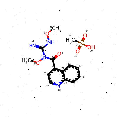 CONC(=N)N(OC)C(=O)c1ccnc2ccccc12.CS(=O)(=O)O